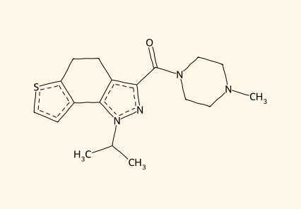 CC(C)n1nc(C(=O)N2CCN(C)CC2)c2c1-c1ccsc1CC2